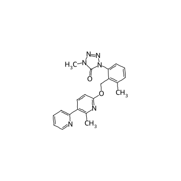 Cc1cccc(-n2nnn(C)c2=O)c1COc1ccc(-c2ccccn2)c(C)n1